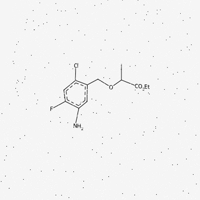 CCOC(=O)C(C)OCc1cc(N)c(F)cc1Cl